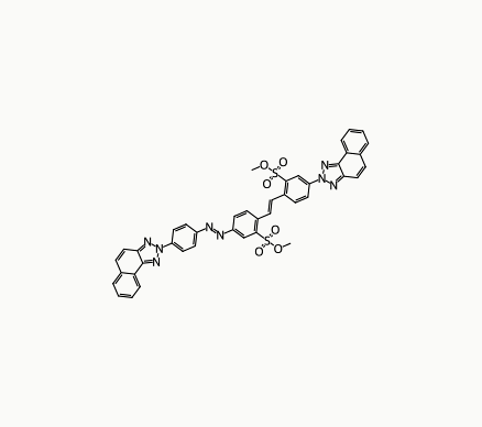 COS(=O)(=O)c1cc(N=Nc2ccc(-n3nc4ccc5ccccc5c4n3)cc2)ccc1C=Cc1ccc(-n2nc3ccc4ccccc4c3n2)cc1S(=O)(=O)OC